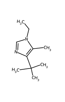 CCn1cnc(C(C)(C)C)c1C